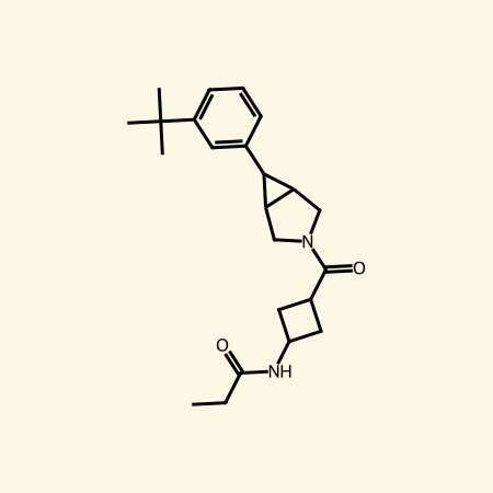 CCC(=O)NC1CC(C(=O)N2CC3C(C2)C3c2cccc(C(C)(C)C)c2)C1